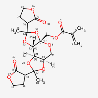 C=C(C)C(=O)OC[C@@]12OC[C@H]3OC(C)(C4CCOC4=O)O[C@H]3[C@@H]1OC(C)(C1CCOC1=O)O2